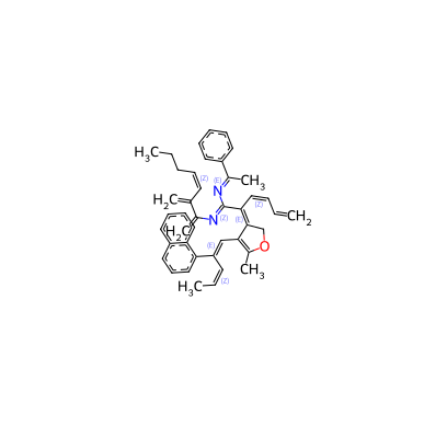 C=C\C=C/C(C(=N/C(=C)C(=C)/C=C\CCC)/N=C(\C)c1ccccc1)=C1\COC(C)=C1/C=C(\C=C/C)c1cccc2ccccc12